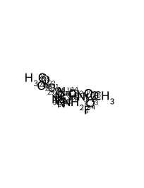 COc1ccc(F)cc1C(=O)NCc1ccc(-c2nc([C@H]3CC[C@H](C(=O)OC)CC3)n3ncnc(N)c23)cc1